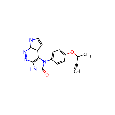 C#CC(C)Oc1ccc(-n2c3c([nH]c2=O)N=NC2NC=CC32)cc1